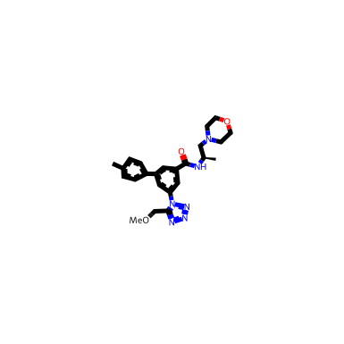 COCc1nnnn1-c1cc(C(=O)N[C@H](C)CN2CCOCC2)cc(-c2ccc(C)cc2)c1